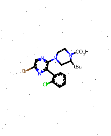 CC(C)(C)C1CN(c2ncc(Br)nc2-c2ccccc2Cl)CCN1C(=O)O